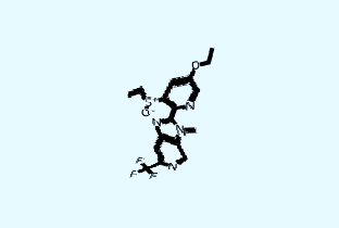 CCOc1cnc(-c2nc3cc(C(F)(F)F)ncc3n2C)c([S+]([O-])CC)c1